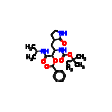 CC(C)NC(=O)C(OC(=O)c1ccccc1)C(CC1CCNC1=O)NC(=O)OC(C)(C)C